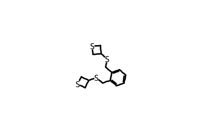 c1ccc(CSC2CSC2)c(CSC2CSC2)c1